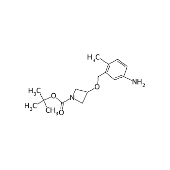 Cc1ccc(N)cc1COC1CN(C(=O)OC(C)(C)C)C1